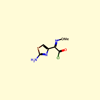 CON=C(C(=O)Cl)c1csc(N)n1